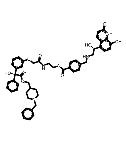 O=C(COc1cccc([C@](O)(C(=O)OCC2CCN(Cc3ccccc3)CC2)c2ccccc2)c1)NCCNC(=O)c1ccc(CNC[C@H](O)c2ccc(O)c3[nH]c(=O)ccc23)cc1